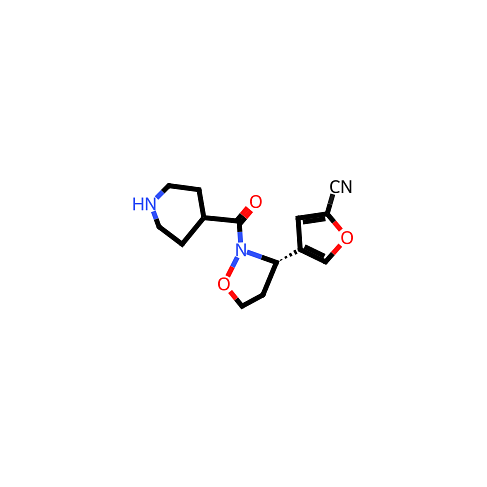 N#Cc1cc([C@@H]2CCON2C(=O)C2CCNCC2)co1